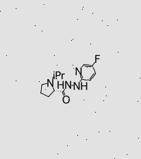 CC(C)N1CCC[C@H]1C(=O)NNc1ccc(F)cn1